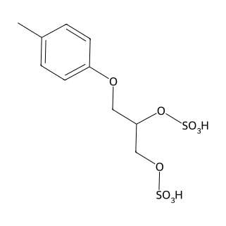 Cc1ccc(OCC(COS(=O)(=O)O)OS(=O)(=O)O)cc1